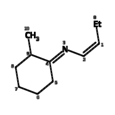 CC/C=C\N=C1/CCCCC1C